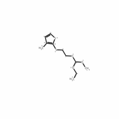 CCOC(OC)OCCSc1sccc1C